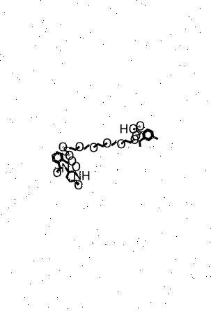 Cc1ccc(S(=O)(=O)O)c(C(C)OCCOCCOCCOCCOCCS(=O)(=O)c2cccc3c2C(=O)N(C2CCC(=O)NC2=O)C3=O)c1